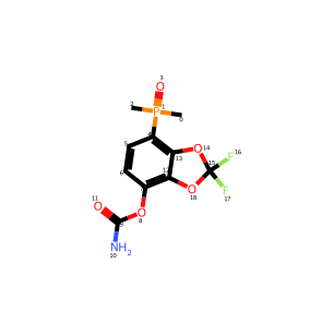 CP(C)(=O)c1ccc(OC(N)=O)c2c1OC(F)(F)O2